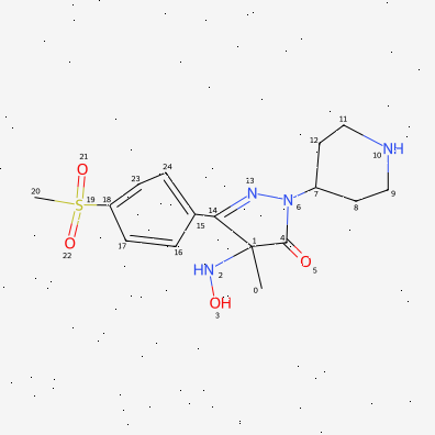 CC1(NO)C(=O)N(C2CCNCC2)N=C1c1ccc(S(C)(=O)=O)cc1